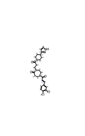 O=C(/C=C/c1ccc(Cl)c(Cl)c1)N1CCC(=O)N(CCC(=O)N2CCC(c3cc[nH]n3)CC2)CC1